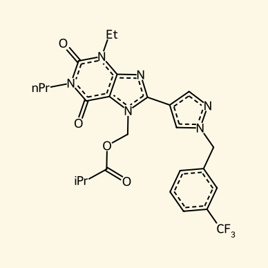 CCCn1c(=O)c2c(nc(-c3cnn(Cc4cccc(C(F)(F)F)c4)c3)n2COC(=O)C(C)C)n(CC)c1=O